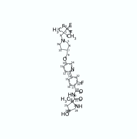 CC(C)(CN1CCC(COc2ccc(-c3ccc(C(=O)NC(=O)[C@]4(C)C[C@@H](O)CN4)c(F)c3)nc2)CC1)C(F)(F)F